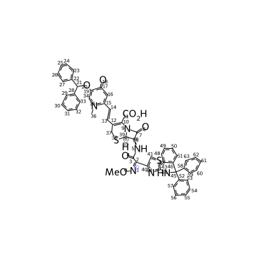 CO/N=C(\C(=O)N[C@@H]1C(=O)N2C(C(=O)O)=C(C=Cc3cc(=O)c(OC(c4ccccc4)c4ccccc4)cn3C)CS[C@H]12)c1csc(NC(c2ccccc2)(c2ccccc2)c2ccccc2)n1